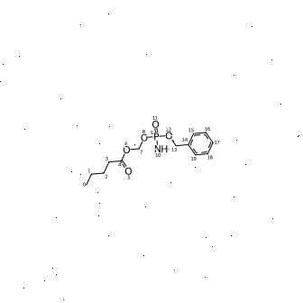 CCCCC(=O)OCOP([NH])(=O)OCc1ccccc1